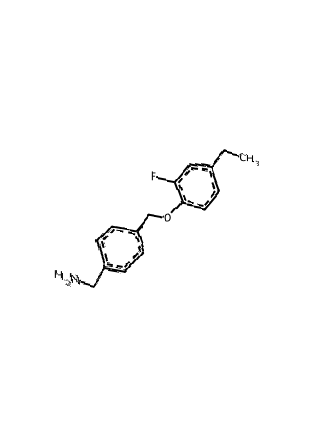 CCc1ccc(OCc2ccc(CN)cc2)c(F)c1